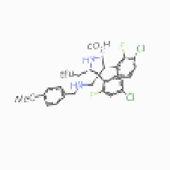 COc1ccc(CNC[C@]2(c3ccc(Cl)cc3F)[C@H](c3cccc(Cl)c3F)[C@@H](C(=O)O)N[C@@H]2CC(C)(C)C)cc1